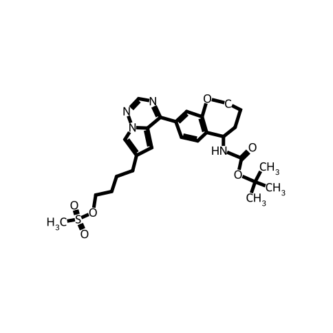 CC(C)(C)OC(=O)NC1CCCOc2cc(-c3ncnn4cc(CCCCOS(C)(=O)=O)cc34)ccc21